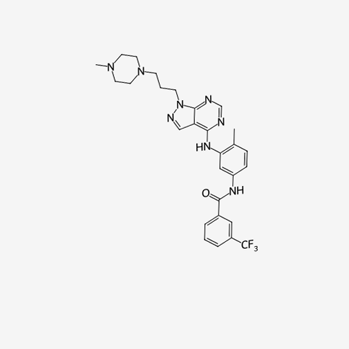 Cc1ccc(NC(=O)c2cccc(C(F)(F)F)c2)cc1Nc1ncnc2c1cnn2CCCN1CCN(C)CC1